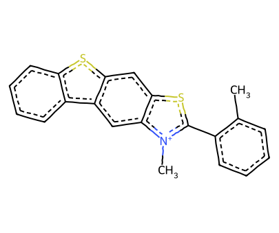 Cc1ccccc1-c1sc2cc3sc4ccccc4c3cc2[n+]1C